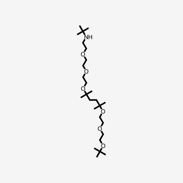 CC(C)(C)NCCOCCOCCOC(C)(C)CCC(C)(C)OCCOCCOC(C)(C)C